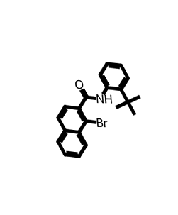 CC(C)(C)c1ccccc1NC(=O)c1ccc2ccccc2c1Br